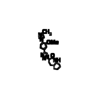 COc1cc(-c2cn(C3CCC4CCCCC4NC3=O)nn2)ccc1-n1cnc(C)c1